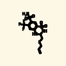 C=CCSCC1Nc2cc(C(F)(F)F)c(S(N)(=O)=O)cc2S(=O)(=O)N1